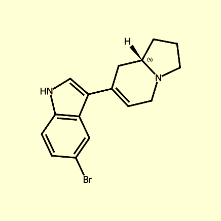 Brc1ccc2[nH]cc(C3=CCN4CCC[C@H]4C3)c2c1